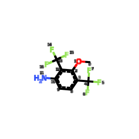 COc1c(C(F)(F)F)ccc(N)c1C(F)(F)F